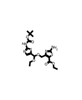 CCOC(=O)c1sc(N)nc1COC(OCC)c1cnc(NC(=O)OC(C)(C)C)s1